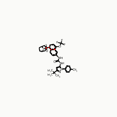 Cc1ccc(-n2nc(C(C)(C)C)cc2NC(=O)Nc2ccc(CC3CC4CCC(C3)N4S(=O)(=O)c3ccc(OC(F)(F)F)cc3)cc2)cc1